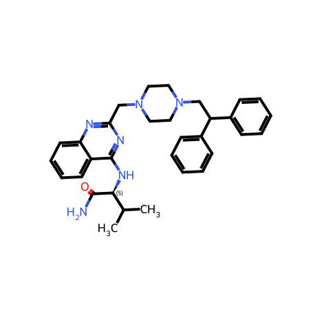 CC(C)[C@H](Nc1nc(CN2CCN(CC(c3ccccc3)c3ccccc3)CC2)nc2ccccc12)C(N)=O